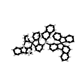 c1ccc2c(c1)-c1ccccc1C21c2cc(N(c3ccc4ccccc4c3)c3cccc4c3-c3ccccc3C43c4ccccc4-n4c5ccccc5c5cccc3c54)ccc2-c2c1ccc1ccccc21